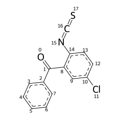 O=C(c1ccccc1)c1cc(Cl)ccc1N=C=S